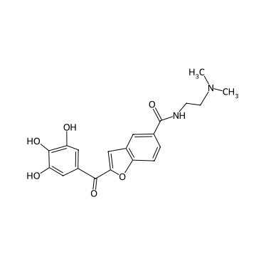 CN(C)CCNC(=O)c1ccc2oc(C(=O)c3cc(O)c(O)c(O)c3)cc2c1